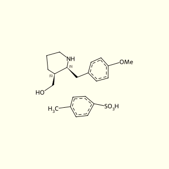 COc1ccc(C[C@@H]2NCCC[C@@H]2CO)cc1.Cc1ccc(S(=O)(=O)O)cc1